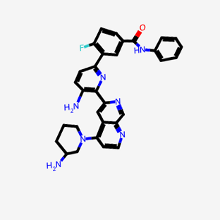 Nc1ccc(-c2cc(C(=O)Nc3ccccc3)ccc2F)nc1-c1cc2c(N3CCCC(N)C3)ccnc2cn1